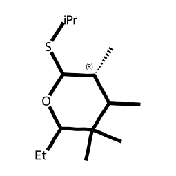 CCC1OC(SC(C)C)[C@H](C)C(C)C1(C)C